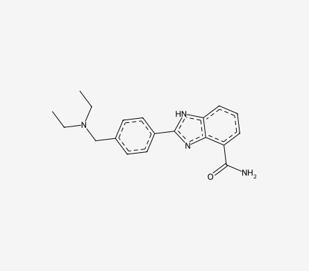 CCN(CC)Cc1ccc(-c2nc3c(C(N)=O)cccc3[nH]2)cc1